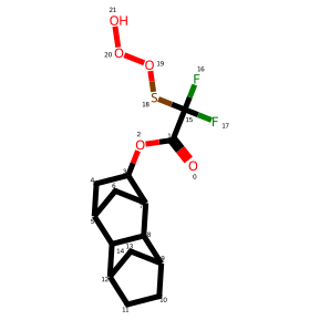 O=C(OC1CC2CC1C1C3CCC(C3)C21)C(F)(F)SOOO